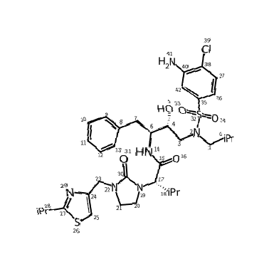 CC(C)CN(C[C@@H](O)[C@H](Cc1ccccc1)NC(=O)[C@H](C(C)C)N1CCN(Cc2csc(C(C)C)n2)C1=O)S(=O)(=O)c1ccc(Cl)c(N)c1